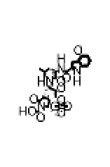 COc1cccc2[nH]c(C(=O)N[C@@H](CC(C)C)C(=O)N[C@@H](C[C@@H]3CCN(C(=O)O)C3=O)C(=O)COP(=O)(OC)OC)cc12